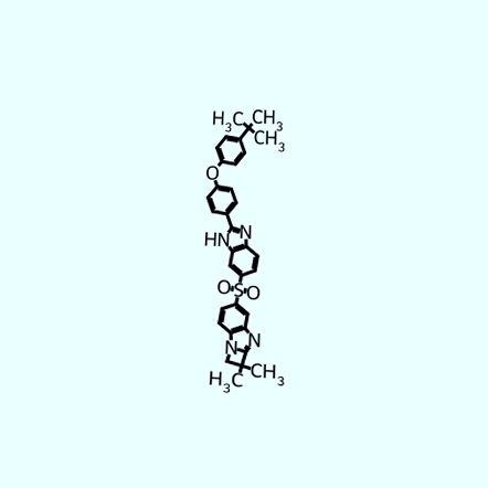 CC(C)(C)c1ccc(Oc2ccc(-c3nc4ccc(S(=O)(=O)c5ccc6c(c5)nc5n6CC5(C)C)cc4[nH]3)cc2)cc1